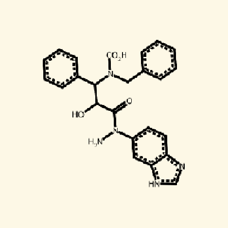 NN(C(=O)C(O)C(c1ccccc1)N(Cc1ccccc1)C(=O)O)c1ccc2nc[nH]c2c1